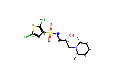 C[C@@H]1CCC[C@H](C)N1C[C@@H](O)CNS(=O)(=O)c1cc(Cl)sc1Cl